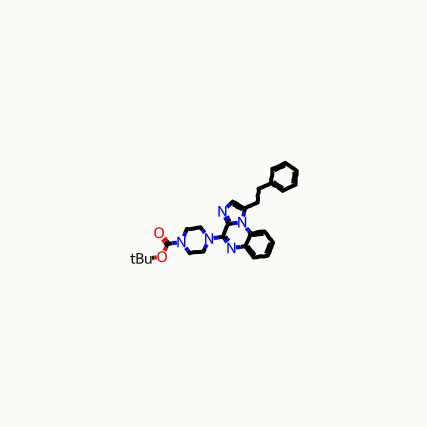 CC(C)(C)OC(=O)N1CCN(c2nc3ccccc3n3c(CCc4ccccc4)cnc23)CC1